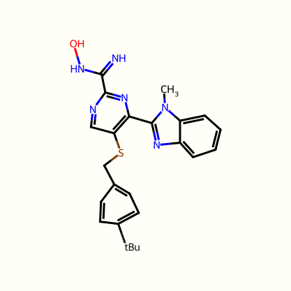 Cn1c(-c2nc(C(=N)NO)ncc2SCc2ccc(C(C)(C)C)cc2)nc2ccccc21